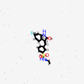 CCNS(=O)(=O)c1cccc(/C=C2/C(=O)Nc3cc(F)ccc32)c1